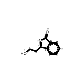 O=C1N=C(CCO)c2ccccc21